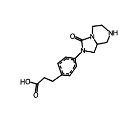 O=C(O)CCc1ccc(N2CC3CNCCN3C2=O)cc1